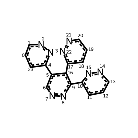 c1cnnc(-c2cnnc(-c3cccnn3)c2-c2cccnn2)c1